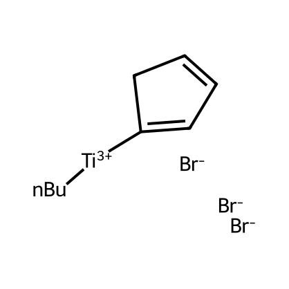 CCC[CH2][Ti+3][C]1=CC=CC1.[Br-].[Br-].[Br-]